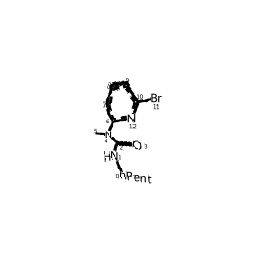 CCCCCNC(=O)N(C)c1cccc(Br)n1